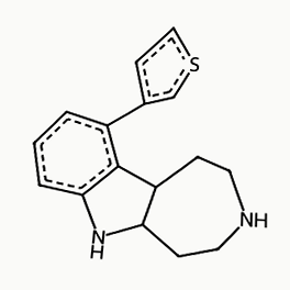 c1cc2c(c(-c3ccsc3)c1)C1CCNCCC1N2